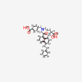 CC(C)(CCCN(Cc1ccc(C(=O)O)cc1)CC(OCc1ccc(CCc2ccccc2)cc1)c1ccccc1)C(=O)O